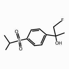 CC(C)S(=O)(=O)c1ccc(C(C)(O)CF)cc1